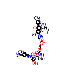 CCc1cc2c(cc1N1CCN(C(=O)COCCOCC(=O)NC(C(=O)N3C[C@H](O)C[C@H]3C(=O)NCc3ccc(-c4scnc4C)cc3)C(C)(C)C)CC1)C(C)(C)c1[nH]c3cc(C#N)ccc3c1C2=O